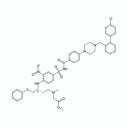 COC(=O)CN(C)CC[C@H](CSc1ccccc1)Nc1ccc(S(=O)(=O)NC(=O)c2ccc(N3CCN(Cc4ccccc4-c4ccc(Cl)cc4)CC3)cc2)cc1[N+](=O)[O-]